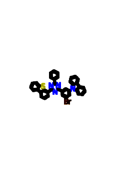 Brc1cc(-c2nc(-c3ccccc3)nc(-c3cccc4c3sc3ccccc34)n2)cc(-n2c3ccccc3c3ccccc32)c1